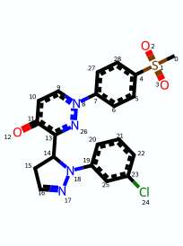 CS(=O)(=O)c1ccc(-n2ccc(=O)c(C3CC=NN3c3cccc(Cl)c3)n2)cc1